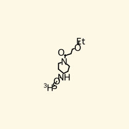 [3H]SONC1CCN(C(=O)CCOCC)CC1